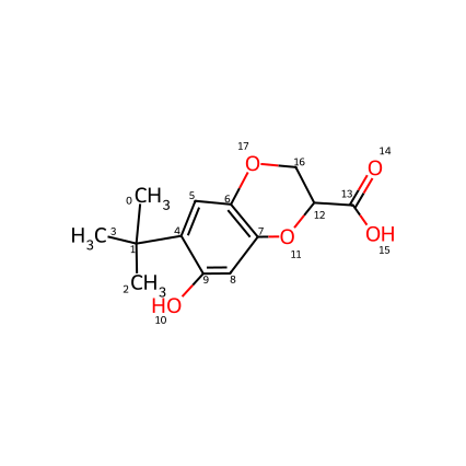 CC(C)(C)c1cc2c(cc1O)OC(C(=O)O)CO2